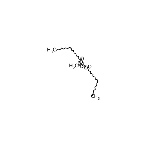 C=CC(=O)OC(COC(=O)CCCCCCC/C=C\CCCCCCCC)COC(=O)CCCCCCC/C=C\CCCCCCCC